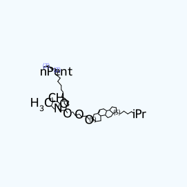 CCCCC/C=C\C/C=C\CCCCCCCCOCC(CN1CCC(C)(C)CC1)OCCOCCO[C@H]1CCC2C(=CCC3C2CCC2C3CC[C@@H]2CCCCC(C)C)C1